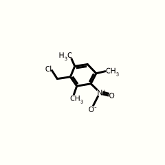 Cc1cc(C)c([N+](=O)[O-])c(C)c1CCl